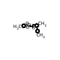 Cc1ccc(-c2cc(C)cc3c2OC(COS(=O)(=O)c2ccc(C)cc2)C3)cc1